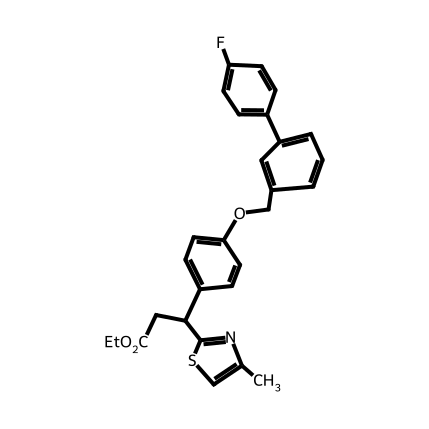 CCOC(=O)CC(c1ccc(OCc2cccc(-c3ccc(F)cc3)c2)cc1)c1nc(C)cs1